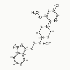 COc1cc(Cl)cnc1N1CCN(CCCc2c[nH]c3ccccc23)CC1.Cl